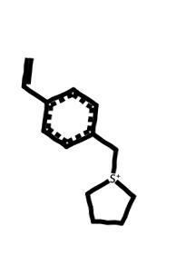 C=Cc1ccc(C[S+]2CCCC2)cc1